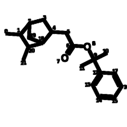 CC1C2CC(CC(=O)OC(C)(C)c3ccccc3)C(C2)C1C